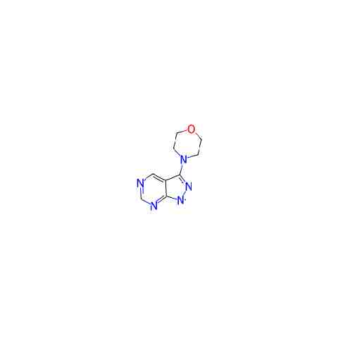 c1ncc2c(n1)[N]N=C2N1CCOCC1